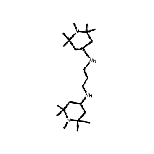 CN1C(C)(C)CC(NCCCNC2CC(C)(C)N(C)C(C)(C)C2)CC1(C)C